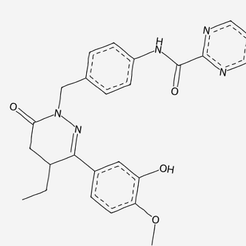 CCC1CC(=O)N(Cc2ccc(NC(=O)c3ncccn3)cc2)N=C1c1ccc(OC)c(O)c1